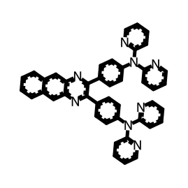 c1ccc(N(c2ccc(-c3nc4cc5ccccc5cc4nc3-c3ccc(N(c4ccccn4)c4ccccn4)cc3)cc2)c2ccccn2)nc1